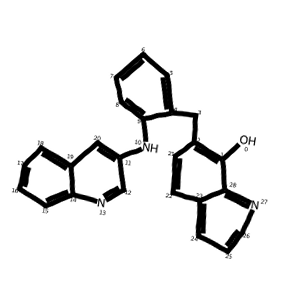 Oc1c(Cc2ccccc2Nc2cnc3ccccc3c2)ccc2cccnc12